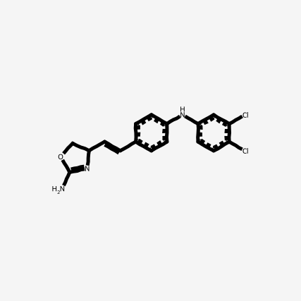 NC1=NC(C=Cc2ccc(Nc3ccc(Cl)c(Cl)c3)cc2)CO1